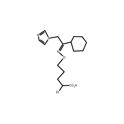 CCC(CCCO/N=C(/Cn1ccnc1)C1CCCCC1)C(=O)O